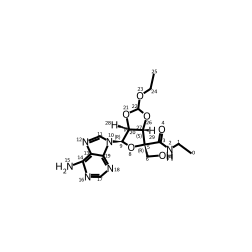 CCNC(=O)[C@]1(CO)O[C@@H](n2cnc3c(N)ncnc32)[C@@H]2OC(OCC)O[C@@H]21